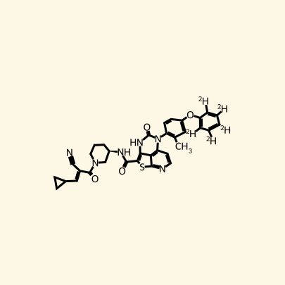 [2H]c1c([2H])c([2H])c(Oc2ccc(N3C(=O)Nc4c(C(=O)N[C@@H]5CCCN(C(=O)/C(C#N)=C/C6CC6)C5)sc5nccc3c45)c(C)c2)c([2H])c1[2H]